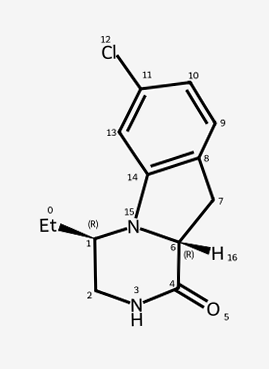 CC[C@@H]1CNC(=O)[C@H]2Cc3ccc(Cl)cc3N12